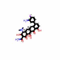 CN(C)[C@@H]1C(O)=C(C(N)=O)C(=O)[C@@]2(O)C(O)=C3C(=O)c4c(O)ccc(-c5ccc(I)c(N)c5)c4C[C@H]3C[C@@H]12